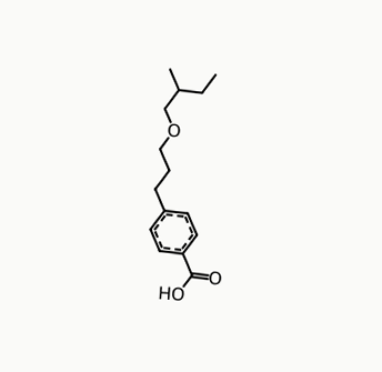 CCC(C)COCCCc1ccc(C(=O)O)cc1